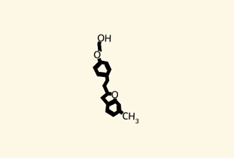 Cc1ccc2c(c1)OC(CCc1ccc(OCCO)cc1)C2